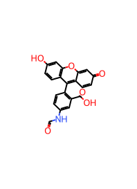 O=CNc1ccc(-c2c3ccc(=O)cc-3oc3cc(O)ccc23)c(C(=O)O)c1